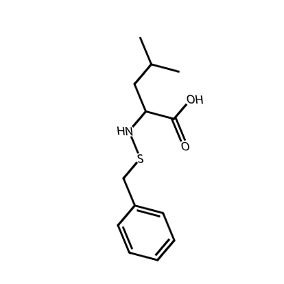 CC(C)CC(NSCc1ccccc1)C(=O)O